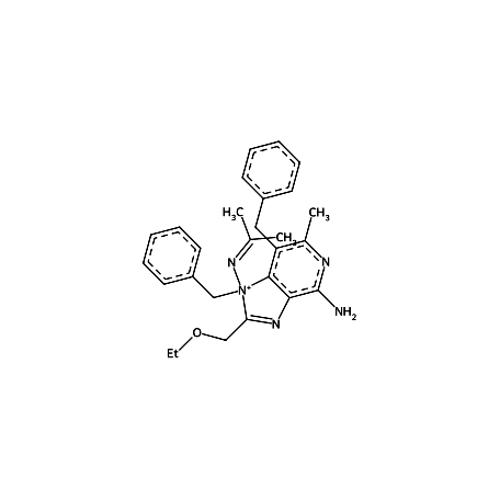 CCOCC1=Nc2c(N)nc(C)c(Cc3ccccc3)c2[N+]1(Cc1ccccc1)N=C(C)C